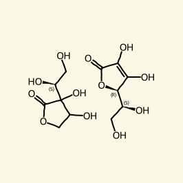 O=C1OCC(O)C1(O)[C@@H](O)CO.O=C1O[C@H]([C@@H](O)CO)C(O)=C1O